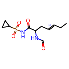 CC/C=C/CC(NC=O)C(=O)NS(=O)(=O)C1CC1